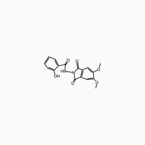 COc1cc2c(cc1OC)C(=O)N(NC(=O)c1ccccc1O)C2=O